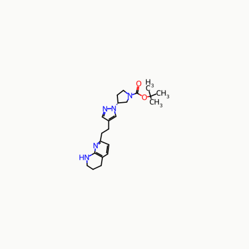 CC(C)(C)OC(=O)N1CC[C@@H](n2cc(CCc3ccc4c(n3)NCCC4)cn2)C1